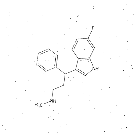 CNCCC(c1ccccc1)c1c[nH]c2cc(F)ccc12